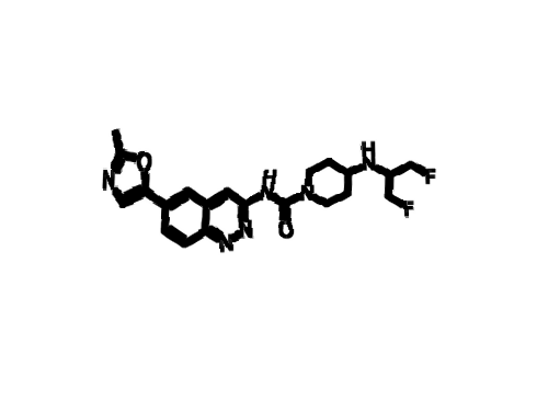 Cc1ncc(-c2ccc3nnc(NC(=O)N4CCC(NC(CF)CF)CC4)cc3c2)o1